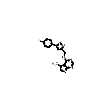 Cc1csc2ncnc(OCc3cc(-c4ccc(F)cc4)no3)c12